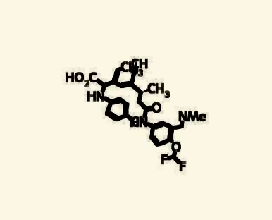 C#C/C(=C\C(=C/C)C(Nc1ccc(C#N)cc1)C(=O)O)[C@H](C)CC(=O)Nc1ccc(OC(F)F)c(CNC)c1